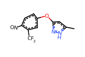 Cc1cc(Oc2ccc(N=O)c(C(F)(F)F)c2)n[nH]1